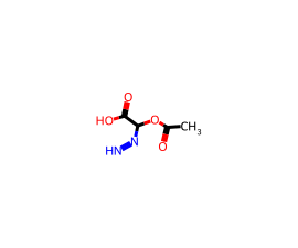 CC(=O)OC(N=N)C(=O)O